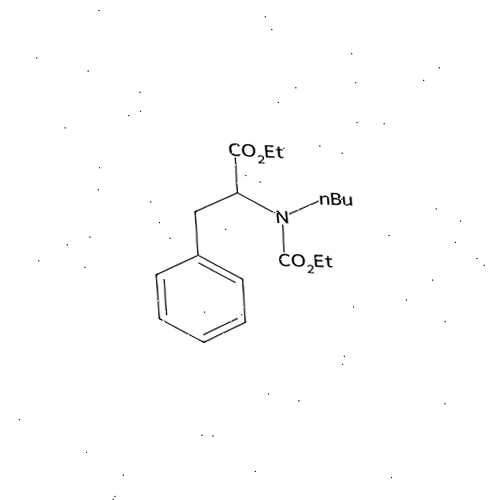 CCCCN(C(=O)OCC)C(Cc1ccccc1)C(=O)OCC